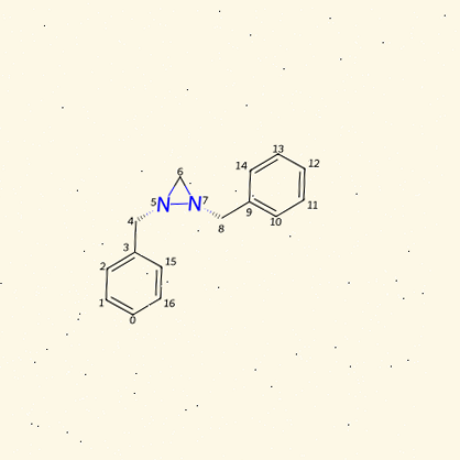 c1ccc(C[N@]2C[N@]2Cc2ccccc2)cc1